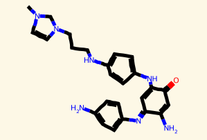 CN1C=CN(CCCNc2ccc(NC3=CC(=Nc4ccc(N)cc4)C(N)=CC3=O)cc2)C1